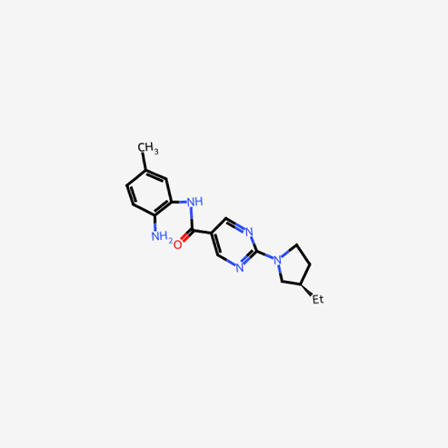 CC[C@@H]1CCN(c2ncc(C(=O)Nc3cc(C)ccc3N)cn2)C1